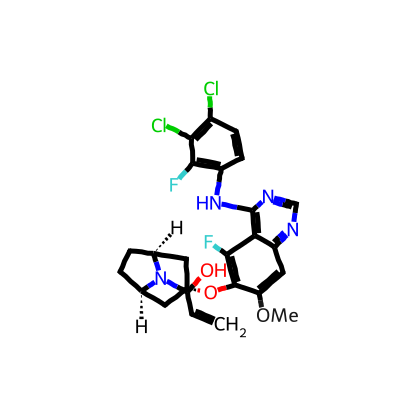 C=CC(O)N1[C@@H]2CC[C@H]1C[C@H](Oc1c(OC)cc3ncnc(Nc4ccc(Cl)c(Cl)c4F)c3c1F)C2